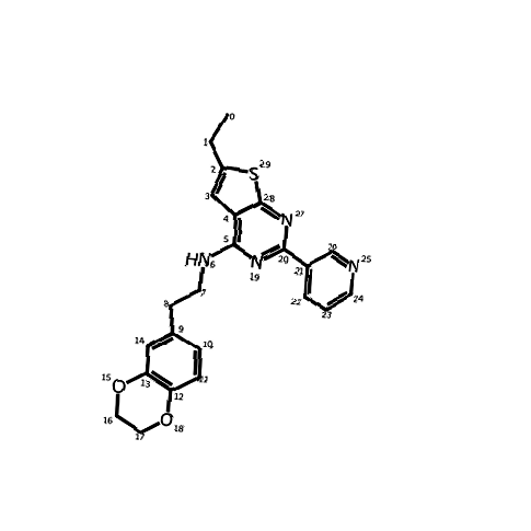 CCc1cc2c(NCCc3ccc4c(c3)OCCO4)nc(-c3cccnc3)nc2s1